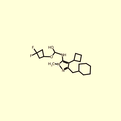 Cn1nc(CC2CCCCC2)c(C2CCC2)c1NC(O)OC1CC(F)(F)C1